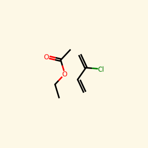 C=CC(=C)Cl.CCOC(C)=O